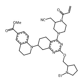 C=CC(=O)N1CCN(c2nc(OCC3CCCN3CC)nc3c2CCC(N2CCCc4cc(C(=O)OC)ccc42)C3)CC1CC#N